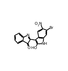 O=C1C(c2c(O)[nH]c3cc(Br)c([N+](=O)[O-])cc23)=Nc2ccccc21